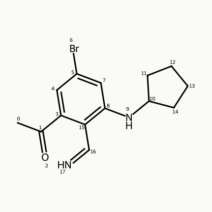 CC(=O)c1cc(Br)cc(NC2CCCC2)c1C=N